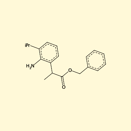 CC(C)c1cccc(C(C)C(=O)OCc2ccccc2)c1N